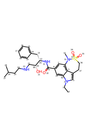 CCn1cc2c3c(cc(C(=O)N[C@@H](Cc4ccccc4)[C@H](O)CNCCC(C)C)cc31)N(C)S(=O)(=O)CC2